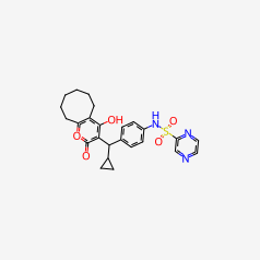 O=c1oc2c(c(O)c1C(c1ccc(NS(=O)(=O)c3cnccn3)cc1)C1CC1)CCCCCC2